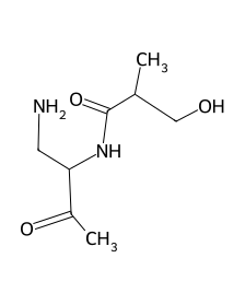 CC(=O)C(CN)NC(=O)C(C)CO